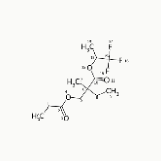 CCC(=O)OCC(C)(CC)C(=O)OC(C)C(F)(F)F